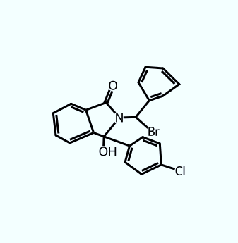 O=C1c2ccccc2C(O)(c2ccc(Cl)cc2)N1C(Br)c1ccccc1